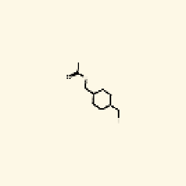 CC(=O)OCC1CCC(CI)CC1